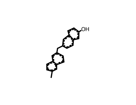 Cc1ccc2cc(Cc3ccc4cc(O)ccc4c3)ccc2c1